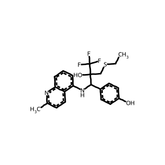 CCSCC(O)(C(Nc1cccc2nc(C)ccc12)c1ccc(O)cc1)C(F)(F)F